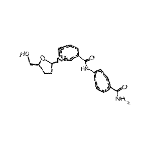 NC(=O)c1ccc(NC(=O)c2ccc[n+](C3CCC(CO)O3)c2)cc1